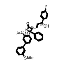 CSc1cccc(-c2ccc([C@]3(c4ccccc4)NC(=O)[C@@H]3CC[C@H](O)c3ccc(F)cc3)c(OC(C)=O)c2)c1